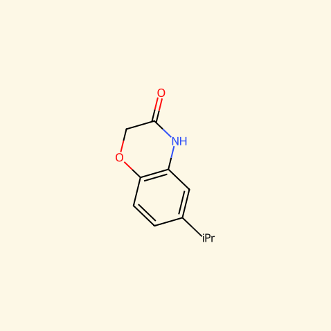 CC(C)c1ccc2c(c1)NC(=O)CO2